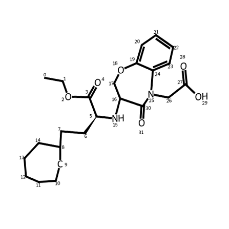 CCOC(=O)[C@H](CCC1CCCCCC1)NC1COc2ccccc2N(CC(=O)O)C1=O